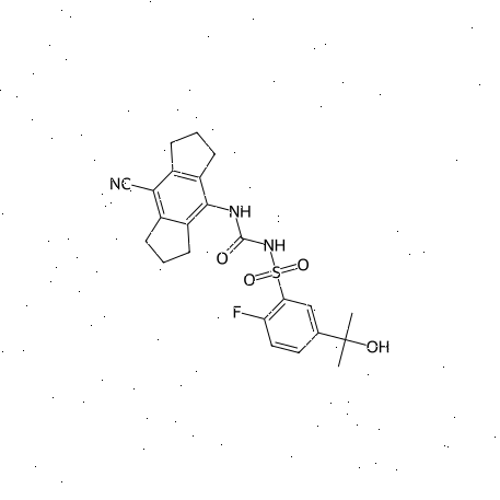 CC(C)(O)c1ccc(F)c(S(=O)(=O)NC(=O)Nc2c3c(c(C#N)c4c2CCC4)CCC3)c1